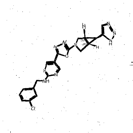 Clc1cccc(CNc2ncc(-c3nnc(N4C[C@@H]5C(c6cnn[nH]6)[C@@H]5C4)o3)cn2)c1